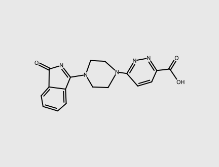 O=C(O)c1ccc(N2CCN(C3=NC(=O)c4ccccc43)CC2)nn1